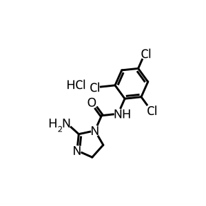 Cl.NC1=NCCN1C(=O)Nc1c(Cl)cc(Cl)cc1Cl